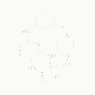 CN1CCN(C(=O)c2cccc(Nc3ccc4c(n3)NC(C)(C)C(=O)N4)c2)CC1